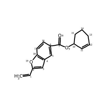 C=Cc1cc2cc(C(=O)OC3C=CCCC3)ccc2o1